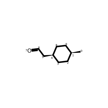 C[C@H]1CC[C@@H](CC=O)CC1